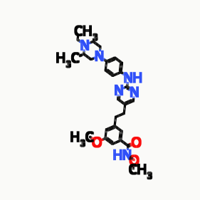 CCN1CCN(c2ccc(Nc3ncc(CCc4cc(OC)cc(C(=O)NOC)c4)cn3)cc2)C[C@H]1C